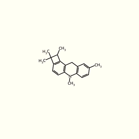 Cc1ccc2c(c1)Cc1c(ccc3c1C(C)C3(C)C)N2C